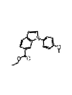 CCOC(=O)c1ccc2ccn(-c3ccc(OC)cc3)c2c1